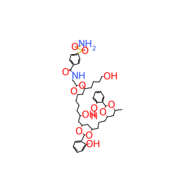 CC1CC(CCCC2CC(CC(O)CCCC3CC(CCCCO)OC(CNC(=O)c4ccc(S(N)(=O)=O)cc4)O3)OC(c3ccccc3O)O2)OC(c2ccccc2O)O1